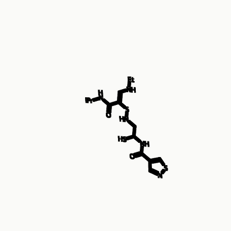 CCN/C=C(\SNCC(S)NC(=O)c1cnsc1)C(=O)NC(C)C